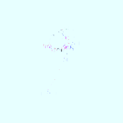 COc1cc2cc(c1Cl)N(C)C(=O)C[C@H](OC(=O)[C@H](N)N(C)C(=O)CCCC(=O)NCCOCCOCCOCCOCCC(=O)N(C)C)[C@]1(N)O[C@H]1[C@H](C)[C@@H]1C[C@@](O)(NC(=O)O1)[C@H](O)/C=C/C=C(\C)C2